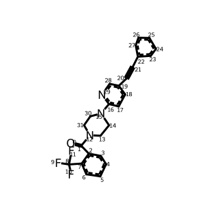 O=C(c1ccccc1C(F)(F)F)N1CCN(c2ccc(C#Cc3ccccc3)cn2)CC1